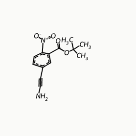 CC(C)(C)OC(=O)c1cc(C#CN)ccc1[N+](=O)[O-]